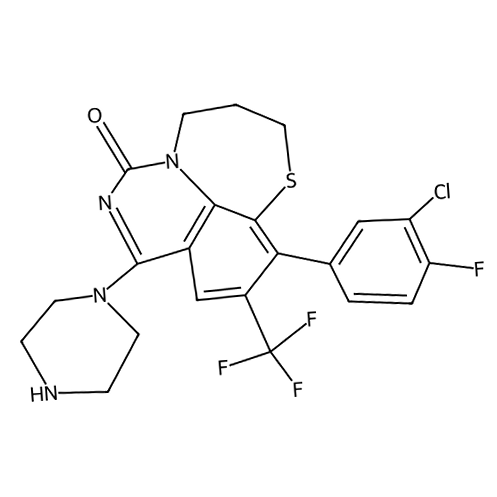 O=c1nc(N2CCNCC2)c2cc(C(F)(F)F)c(-c3ccc(F)c(Cl)c3)c3c2n1CCCS3